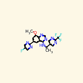 COc1cc(-c2ncc(F)cn2)cc2c(N[C@H](C)c3cnc(C(F)(F)F)nc3)ncnc12